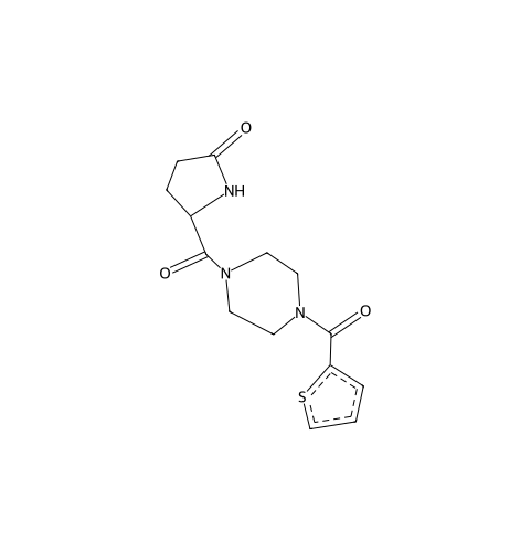 O=C1CCC(C(=O)N2CCN(C(=O)c3cccs3)CC2)N1